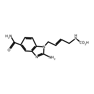 NC(=O)c1ccc2c(c1)nc(N)n2C/C=C/CNC(=O)O